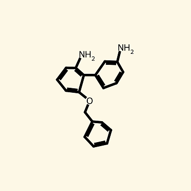 Nc1cccc(-c2c(N)cccc2OCc2ccccc2)c1